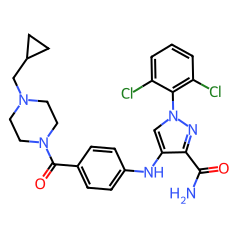 NC(=O)c1nn(-c2c(Cl)cccc2Cl)cc1Nc1ccc(C(=O)N2CCN(CC3CC3)CC2)cc1